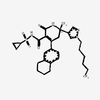 O=C1N[C@@](c2cnn(CCCCCC(F)(F)F)c2)(C(F)(F)F)CC(c2ccc3c(c2)CCCC3)=C1C(=O)NS(=O)(=O)C1CC1